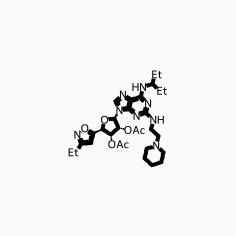 CCc1cc([C@H]2O[C@@H](n3cnc4c(NC(CC)CC)nc(NCCN5CCCCC5)nc43)[C@H](OC(C)=O)[C@@H]2OC(C)=O)on1